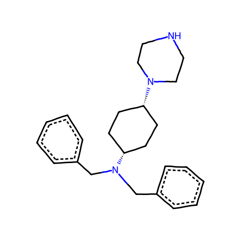 c1ccc(CN(Cc2ccccc2)[C@H]2CC[C@@H](N3CCNCC3)CC2)cc1